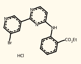 CCOC(=O)c1ccccc1Nc1ccnc(-c2cncc(Br)c2)n1.Cl